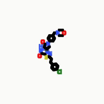 NC(=O)C1SC(CCc2ccc(Cl)cc2)=NN1[C@@H]1CC(=O)N(c2ccc(CN3CCOCC3)cc2)C1